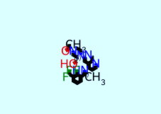 CC(=O)N1CCN(c2cc3c(N[C@H](C)c4cccc(C(F)F)c4F)ccnc3cn2)[C@H](CO)C1